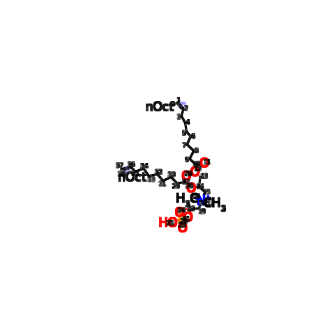 CCCCCCCC/C=C\CCCCCCCC(=O)OCC(C[N+](C)(C)CCOP(=O)([O-])O)OC(=O)CCCCCCC/C=C\CCCCCCCC